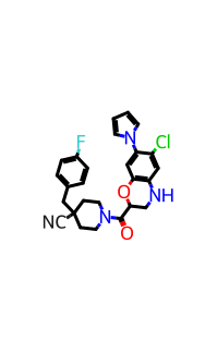 N#CC1(Cc2ccc(F)cc2)CCN(C(=O)C2CNc3cc(Cl)c(-n4cccc4)cc3O2)CC1